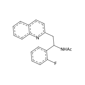 CC(=O)NC(Cc1ccc2ccccc2n1)c1ccccc1F